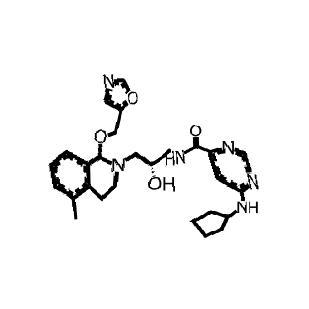 Cc1cccc2c1CCN(C[C@@H](O)CNC(=O)c1cc(NC3CCCC3)ncn1)C2OCc1cnco1